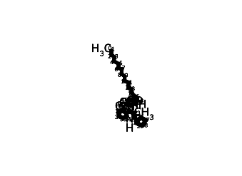 CCCCCCCCCCCCCCCCS(=O)(=O)NN=c1c(C)c(-c2ccccc2)[nH]c2cccc(S(=O)(=O)O)c12